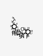 CCCc1ccc(S(=O)(=O)Nc2nc(-c3c(F)cccc3Cl)ns2)cc1